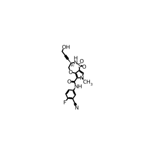 Cn1cc2c(c1C(=O)Nc1ccc(F)c(C#N)c1)OC[C@@H](C#CCO)NS2(=O)=O